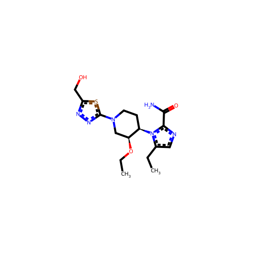 CCO[C@H]1CN(c2nnc(CO)s2)CC[C@H]1n1c(CC)cnc1C(N)=O